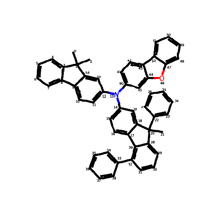 CC1(C)c2ccccc2-c2ccc(N(c3ccc4c(c3)C(C)(c3ccccc3)c3cccc(-c5ccccc5)c3-4)c3ccc4c(c3)oc3ccccc34)cc21